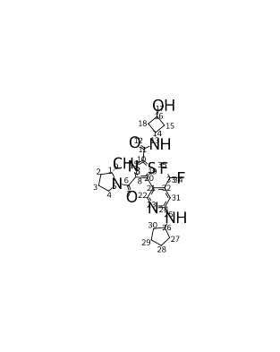 C[C@H]1CCCN1C(=O)c1nc(C(=O)N[C@H]2C[C@H](O)C2)sc1-c1cnc(NC2CCCC2)cc1C(F)F